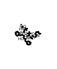 COC(=O)NC(C(=O)NC(Cc1ccccc1)CC(O)C(Cc1ccccc1)NC(=O)C(N1CCN(Cc2cccc(C)n2)C1=O)C(C)(C)C)C(C)(C)C